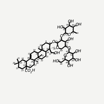 CC1OC(OC2C(OC3CCC4(C)C5CC=C6C7CC(C)(C)CCC7(C(=O)O)CC[C@@]6(C)C5(C)CCC4[C@]3(C)CO)OCC(OC3OC(CO)C(O)C(O)C3O)C2O)C(O)C(O)C1O